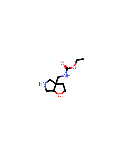 CCOC(=O)NCC12CCOC1CNC2